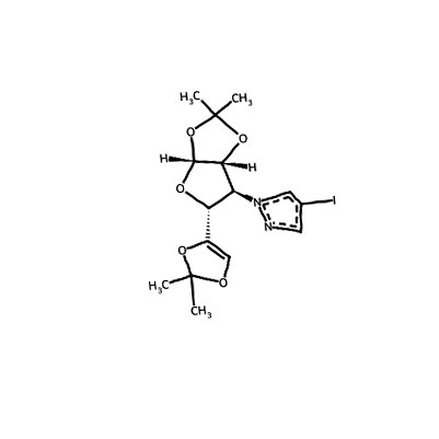 CC1(C)OC=C([C@@H]2O[C@@H]3OC(C)(C)O[C@@H]3[C@H]2n2cc(I)cn2)O1